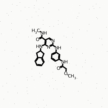 CNC(=O)c1cnc(Nc2cccc(NC(=O)COC)c2)nc1NC1Cc2ccccc2C1